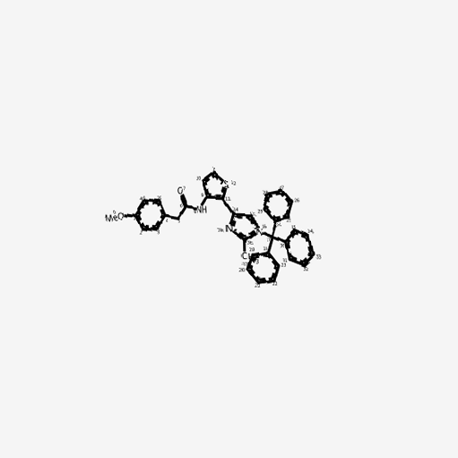 COc1ccc(CC(=O)Nc2ccsc2-c2cn(C(c3ccccc3)(c3ccccc3)c3ccccc3)c(C)n2)cc1